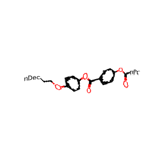 CCCCCCCCCCCCOc1ccc(OC(=O)c2ccc(OC(=O)CCC)cc2)cc1